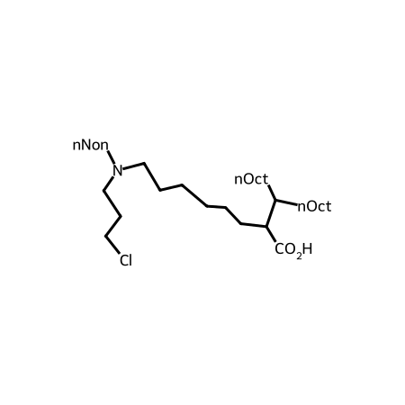 CCCCCCCCCN(CCCCl)CCCCCCC(C(=O)O)C(CCCCCCCC)CCCCCCCC